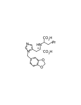 CC(C)CC(N[C@@H](Cc1cncn1Cc1ccc2c(c1)OCO2)C(=O)O)C(=O)O